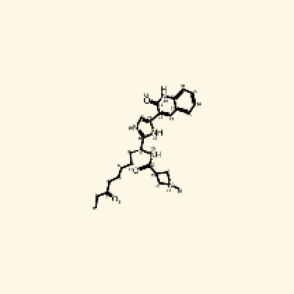 CCC(=O)CCCCC[C@H](NC(=O)C1CN(C)C1)c1ncc(-c2cc3ccccc3[nH]c2=O)[nH]1